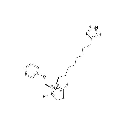 c1ccc(OC[C@H]2[C@@H](CCCCCCCCc3nnn[nH]3)[C@H]3CC[C@@H]2O3)cc1